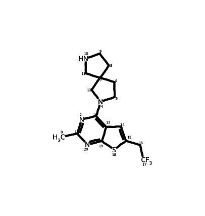 Cc1nc(N2CCC3(CCNC3)C2)c2cc(CC(F)(F)F)sc2n1